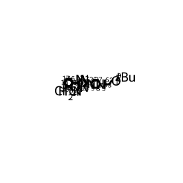 CC(C)(C)OCCC(C)(C)N1CCN(c2nnc(-c3cccc(Cl)c3Cl)c(N)n2)CC1